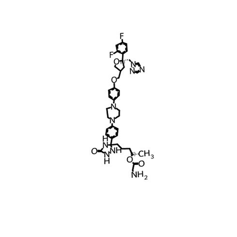 C[C@@H](CCCC1(c2ccc(N3CCN(c4ccc(OCC5CO[C@@](Cn6cncn6)(c6ccc(F)cc6F)C5)cc4)CC3)cc2)NNC(=O)N1)OC(=O)CN